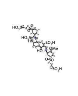 COc1ccc(S(=O)(=O)CCOS(=O)(=O)O)cc1/N=N/c1c(S(=O)(=O)O)cc2c(/N=N/c3cccc(S(=O)(=O)CCOS(=O)(=O)O)c3)c(NCS(=O)(=O)O)ccc2c1O